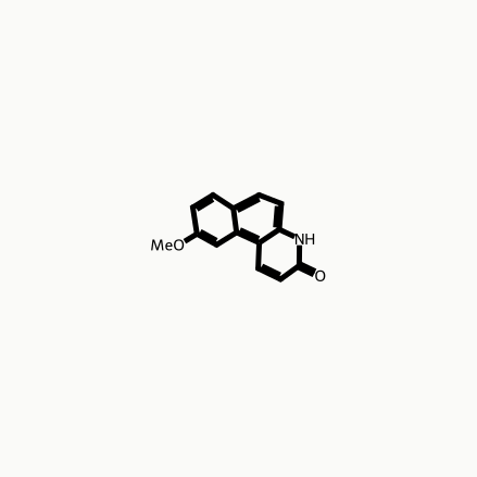 COc1ccc2ccc3[nH]c(=O)ccc3c2c1